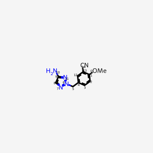 COc1ccc(Cn2ncc(N)n2)cc1C#N